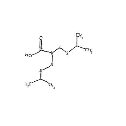 CC(C)SSN(SSC(C)C)C(=O)O